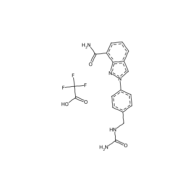 NC(=O)NCc1ccc(-n2cc3cccc(C(N)=O)c3n2)cc1.O=C(O)C(F)(F)F